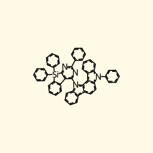 c1ccc(-c2nc(-n3c4ccccc4c4ccc5c(c6ccccc6n5-c5ccccc5)c43)c3c(n2)[Si](c2ccccc2)(c2ccccc2)c2ccccc2-3)cc1